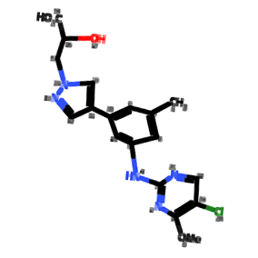 COc1nc(Nc2cc(C)cc(-c3cnn(CC(O)C(=O)O)c3)c2)ncc1Cl